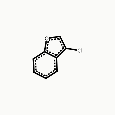 Clc1coc2ccccc12